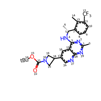 Cc1nc(N[C@H](C)c2cccc(C(F)(F)F)c2C)c2cc(C3CN(C(=O)OC(C)(C)C)C3)cnc2n1